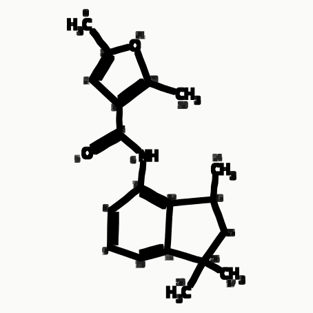 Cc1cc(C(=O)Nc2cccc3c2C(C)CC3(C)C)c(C)o1